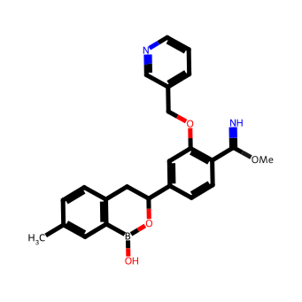 COC(=N)c1ccc(C2Cc3ccc(C)cc3B(O)O2)cc1OCc1cccnc1